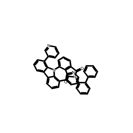 O=C1c2cccc(-n3c4c(-c5cccnc5)cccc4c4cccc(-c5cccnc5)c43)c2C(=O)N1c1ccccc1-c1ccccc1